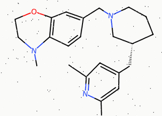 Cc1cc(C[C@H]2CCCN(Cc3ccc4c(c3)OCCN4C)C2)cc(C)n1